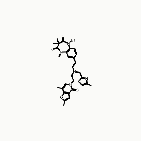 CCN1C(=O)C(C)(C)C(=O)N(C)c2cc(CCN(CCn3cc(C)c4oc(C)cc4c3=O)Cc3nc(C)cs3)ccc21